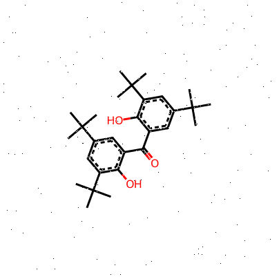 CC(C)(C)c1cc(C(=O)c2cc(C(C)(C)C)cc(C(C)(C)C)c2O)c(O)c(C(C)(C)C)c1